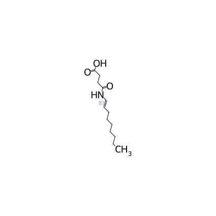 CCCCCCC/C=C/NC(=O)CCC(=O)O